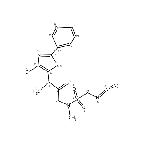 CN(C(=O)CN(C)S(=O)(=O)CN=[N+]=[N-])c1sc(-c2cccnc2)nc1Cl